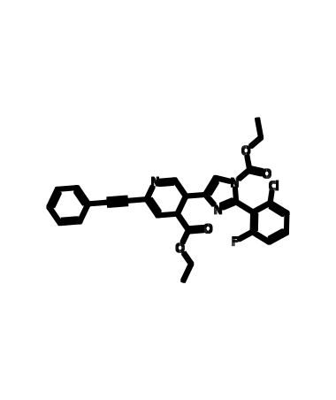 CCOC(=O)C1C=C(C#Cc2ccccc2)N=CC1c1cn(C(=O)OCC)c(-c2c(F)cccc2Cl)n1